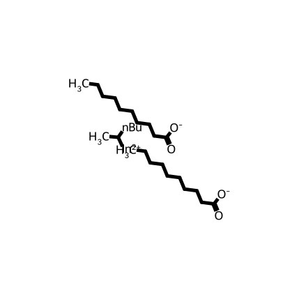 CCCCCCCCCC(=O)[O-].CCCCCCCCCC(=O)[O-].CCCC[CH](C)[In+2]